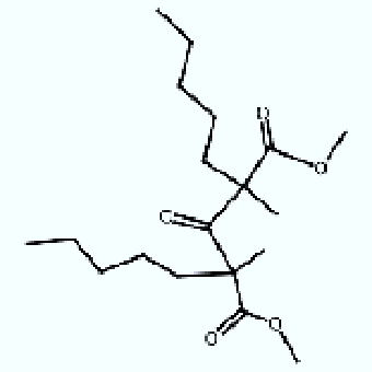 CCCCCC(C)(C(=O)OC)C(=O)C(C)(CCCCC)C(=O)OC